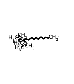 [CH2]CCCCCCCCCC[Si](C)(C[Si](C)(C)C)C[Si](C)(C)C